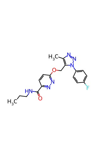 CCCNC(=O)c1ccc(OCc2c(C)nnn2-c2ccc(F)cc2)nn1